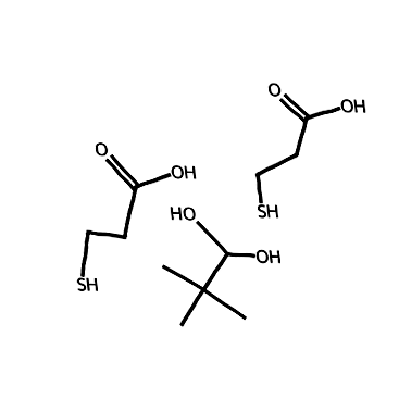 CC(C)(C)C(O)O.O=C(O)CCS.O=C(O)CCS